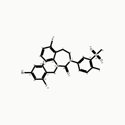 Cc1ccc(N2CCc3c(F)cccc3N(Cc3c(F)cc(Br)cc3F)C2=O)cc1S(C)(=O)=O